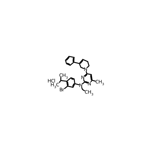 CCN(c1ccc(C(C)C)c(Br)c1)c1nc(C)cc(N2CCC=C(c3ccccc3)C2)n1.Cl